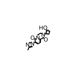 Cc1cn(-c2ccc3n(c2=O)CCN([C@@H]2CC[C@@H]2O)C3=O)cn1